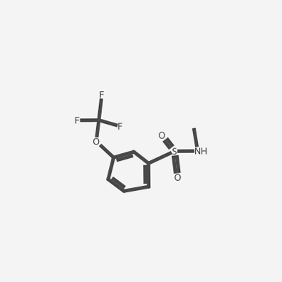 CNS(=O)(=O)c1cccc(OC(F)(F)F)c1